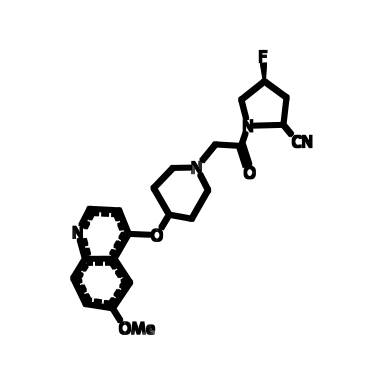 COc1ccc2nccc(OC3CCN(CC(=O)N4C[C@@H](F)CC4C#N)CC3)c2c1